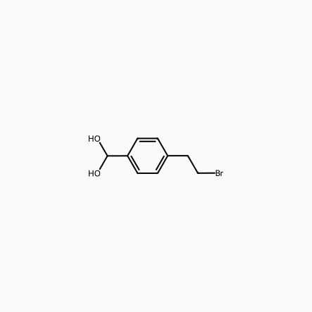 OC(O)c1ccc(CCBr)cc1